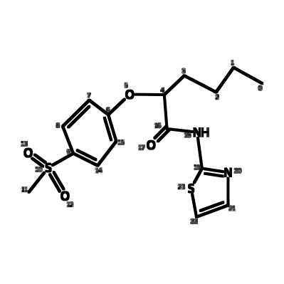 CCCCC(Oc1ccc(S(C)(=O)=O)cc1)C(=O)Nc1nccs1